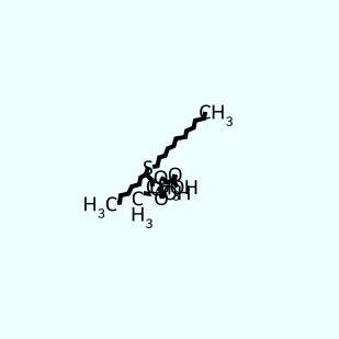 CCCCCCCCCCCCSC(CCCCCCC)C(C)OC(C(=O)O)P(=O)(O)OCCC